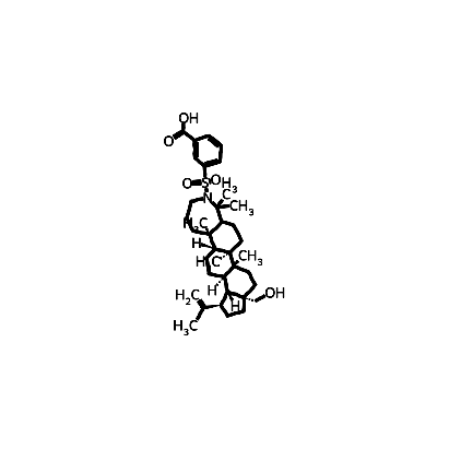 C=C(C)[C@@H]1CC[C@]2(CO)CC[C@]3(C)[C@H](CC[C@@H]4[C@@]5(C)CCCN(S(=O)(=O)c6cccc(C(=O)O)c6)C(C)(C)C5CC[C@]43C)[C@@H]12